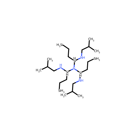 CC(C)CN[SiH](CC[SiH3])N([SiH](CC[SiH3])NCC(C)C)[SiH](CC[SiH3])NCC(C)C